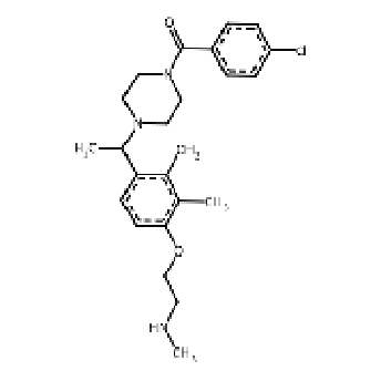 CNCCOc1ccc(C(C)N2CCN(C(=O)c3ccc(Cl)cc3)CC2)c(C)c1C